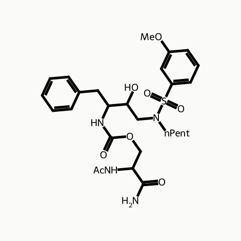 CCCCCN(CC(O)C(Cc1ccccc1)NC(=O)OCC(NC(C)=O)C(N)=O)S(=O)(=O)c1cccc(OC)c1